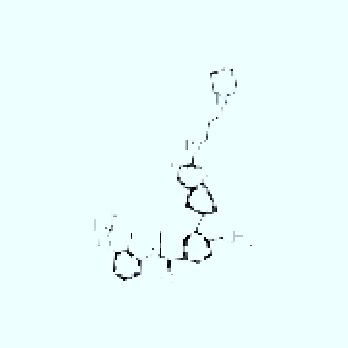 Cc1ccc(C(=O)Nc2cccc3c2OC(F)(F)O3)cc1-c1ccc2nc(NCCCN3CCOCC3)ncc2c1